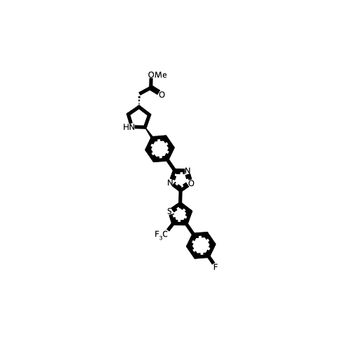 COC(=O)C[C@H]1CN[C@H](c2ccc(-c3noc(-c4cc(-c5ccc(F)cc5)c(C(F)(F)F)s4)n3)cc2)C1